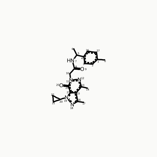 Cc1ccc(C(C)NC(=O)Cn2nc(C)c3c(C)nn(C4CC4)c3c2=O)cc1